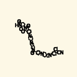 N#Cc1ccc(N2CCC3(CCN(c4ccc(C(=O)N5CC6CN(C7CCN(c8ccc9c(c8)C(=O)N(C8CCC(=O)NC8=O)C9=O)CC7)CC6C5)cc4)CC3)C2)cc1Cl